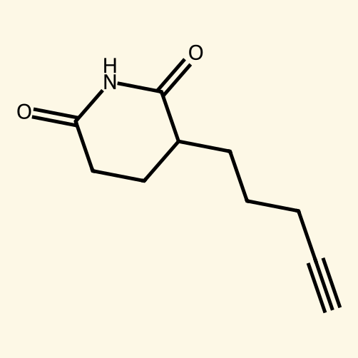 C#CCCCC1CCC(=O)NC1=O